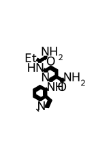 CCC(Nc1ccc(C(N)=O)c(Nc2cccc3c2ccn3C)n1)C(N)=O